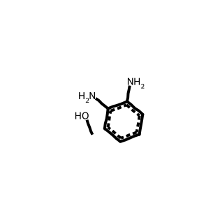 CO.Nc1ccccc1N